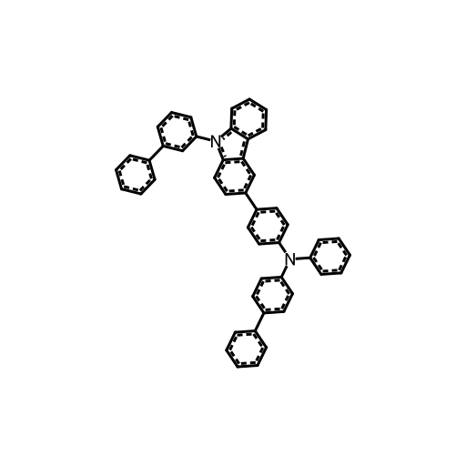 c1ccc(-c2ccc(N(c3ccccc3)c3ccc(-c4ccc5c(c4)c4ccccc4n5-c4cccc(-c5ccccc5)c4)cc3)cc2)cc1